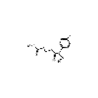 COC(=S)CCCc1nnnn1-c1ccc(C)cc1